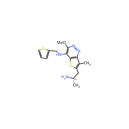 COc1nnc2c(C)c(C[C@H](C)N)sc2c1NCc1cccs1